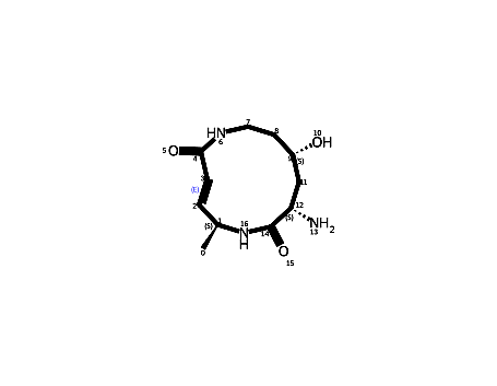 C[C@H]1/C=C/C(=O)NCC[C@H](O)C[C@H](N)C(=O)N1